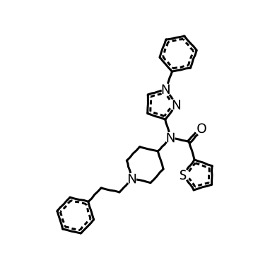 O=C(c1cccs1)N(c1ccn(-c2ccccc2)n1)C1CCN(CCc2ccccc2)CC1